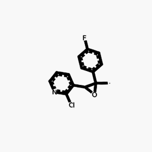 [CH2]C1(c2ccc(F)cc2)OC1c1cccnc1Cl